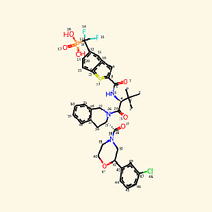 CC(C)(C)[C@H](NC(=O)c1cc2cc(C(F)(F)P(=O)(O)O)ccc2s1)C(=O)N1Cc2ccccc2C[C@H]1C(=O)N1CCOC(c2cccc(Cl)c2)C1